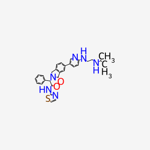 CC(C)NCCNc1ccc(-c2ccc3c(c2)C(=O)N(C(C(=O)Nc2nccs2)c2ccccc2)C3)cn1